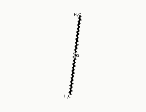 CCC=CCC=CCC=CCC=CCC=CCCCCCCOC(=O)OCCCCCCC=CCC=CCC=CCC=CCC=CCC